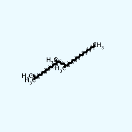 CCCCCCCCCCCCCCCCC(C)CCCC(C)CCCCCCCCCCCC(C)CC